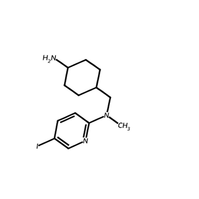 CN(CC1CCC(N)CC1)c1ccc(I)cn1